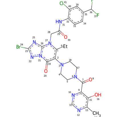 CCc1c(N2CCN(C(=O)c3ncnc(C)c3O)CC2)c(=O)n2nc(Br)nc2n1CC(=O)Nc1ccc(C(F)F)cc1Cl